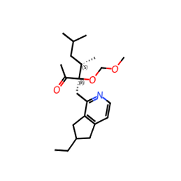 CCC1Cc2ccnc(C[C@](OCOC)(C(C)=O)[C@@H](C)CC(C)C)c2C1